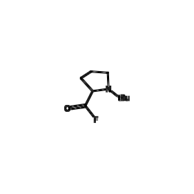 CC(C)(C)N1CCCC1C(=O)F